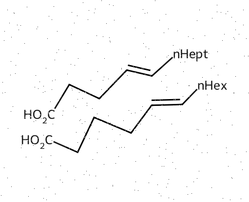 CCCCCCC=CCCCC(=O)O.CCCCCCCC=CCCC(=O)O